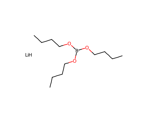 CCCCOB(OCCCC)OCCCC.[LiH]